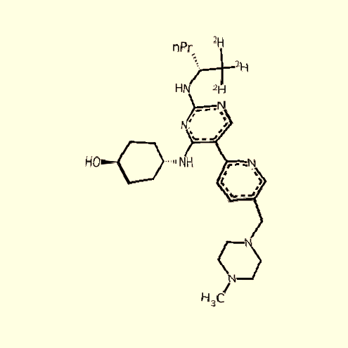 [2H]C([2H])([2H])[C@@H](CCC)Nc1ncc(-c2ccc(CN3CCN(C)CC3)cn2)c(N[C@H]2CC[C@H](O)CC2)n1